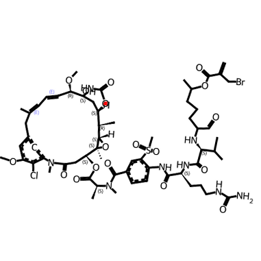 C=C(CBr)C(=O)OC(C)CCCC(C=O)N[C@H](C(=O)N[C@@H](CCCNC(N)=O)C(=O)Nc1ccc(C(=O)N(C)[C@@H](C)C(=O)O[C@H]2CC(=O)N(C)c3cc(cc(OC)c3Cl)C/C(C)=C/C=C/[C@@H](OC)[C@@]3(O)C[C@H](OC(=O)N3)[C@@H](C)[C@@H]3O[C@@]23C)cc1S(C)(=O)=O)C(C)C